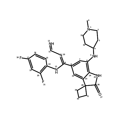 CN1CCC(Nc2cc(/C(=N/C=N)Nc3ccc(F)cc3F)cc3c2NC(=O)C32CCC2)CC1